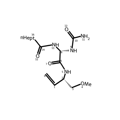 C=C[C@@H](COC)NC(=O)[C@@H](NC(N)=O)NC(=O)CCCCCCC